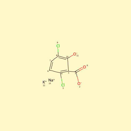 O=C([O-])c1c(Cl)ccc(Cl)c1[O-].[K+].[Na+]